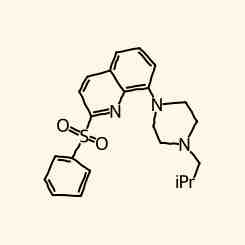 CC(C)CN1CCN(c2cccc3ccc(S(=O)(=O)c4ccccc4)nc23)CC1